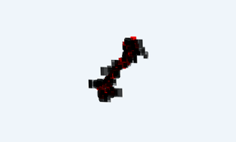 CCNC(=O)/N=C(/N)NCCC[C@@H](NC(=O)C(C)c1ccc(NCCCNC(=O)[C@H](N)CCCCNCN2CCN(CC(=O)O)CCN(CC(=O)O)CCN(CC(=O)O)CC2)cc1)C(=O)NCc1ccc(O)cc1